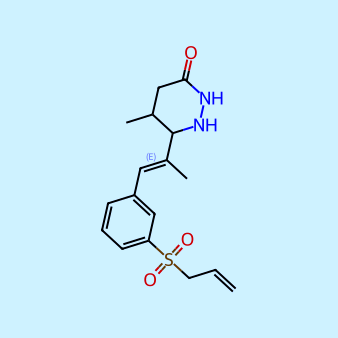 C=CCS(=O)(=O)c1cccc(/C=C(\C)C2NNC(=O)CC2C)c1